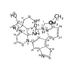 CCNC(=O)NC1(C2CNCCC2(C)C(=O)O)N=CC=CN1c1cc(-c2cccc(OC)n2)c2scnc2c1